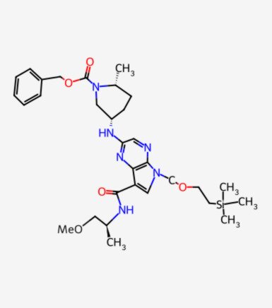 COC[C@H](C)NC(=O)c1cn(COCC[Si](C)(C)C)c2ncc(N[C@H]3CC[C@@H](C)N(C(=O)OCc4ccccc4)C3)nc12